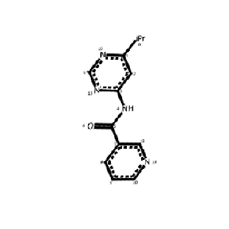 CC(C)c1cc(NC(=O)c2cccnc2)ncn1